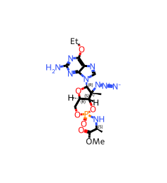 CCOc1nc(N)nc2c1ncn2[C@@H]1O[C@@H]2COP(=O)(N[C@@H](C)C(=O)OC)O[C@H]2[C@@]1(C)N=[N+]=[N-]